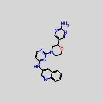 Nc1ncc(C2CN(c3nccc(Nc4cnc5ccccc5c4)n3)CCO2)cn1